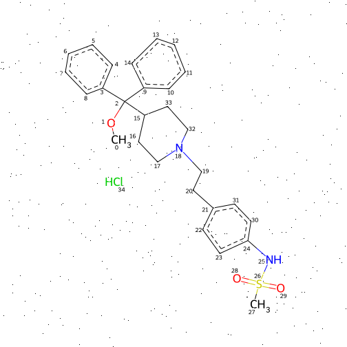 COC(c1ccccc1)(c1ccccc1)C1CCN(CCc2ccc(NS(C)(=O)=O)cc2)CC1.Cl